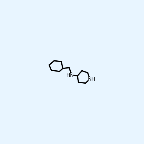 C1CCC(CNC2CCNCC2)CC1